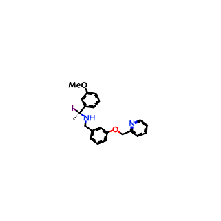 COc1cccc([C@](C)(I)NCc2cccc(OCc3ccccn3)c2)c1